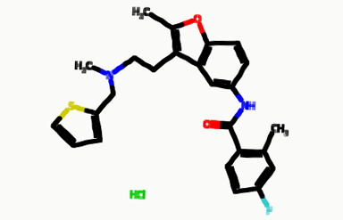 Cc1cc(F)ccc1C(=O)Nc1ccc2oc(C)c(CCN(C)Cc3cccs3)c2c1.Cl